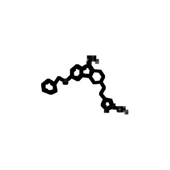 Cn1cc(CCC2CCc3c(c4cc(OCc5ccccc5)ccc4n3N)C2)cn1